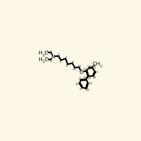 CCN(CC)CCCCCCCOc1cc(C)ccc1-c1ccccc1